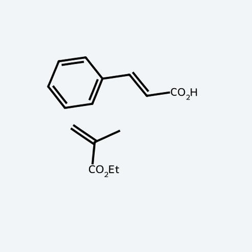 C=C(C)C(=O)OCC.O=C(O)/C=C/c1ccccc1